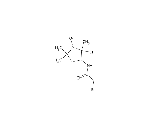 CC1(C)CC(NC(=O)CBr)C(C)(C)N1[O]